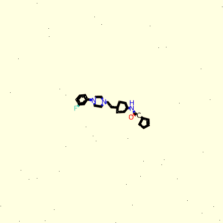 O=C(CC1C=CCC1)NC1CCC(CCN2CCN(c3cccc(F)c3)CC2)CC1